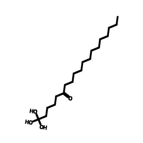 CCCCCCCCCCCCCC(=O)CCCCC(O)(O)O